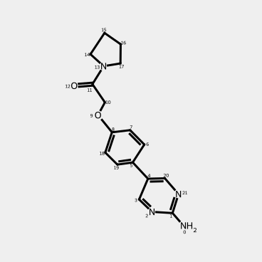 Nc1ncc(-c2ccc(OCC(=O)N3CCCC3)cc2)cn1